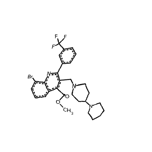 COC(=O)c1c(CN2CCC(N3CCCCC3)CC2)c(-c2cccc(C(F)(F)F)c2)nc2c(Br)cccc12